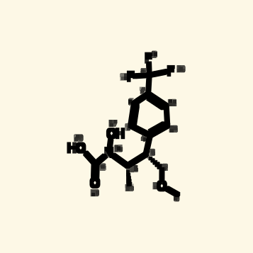 COC[C@@H](c1ccc(C(F)(F)F)cc1)[C@H](C)N(O)C(=O)O